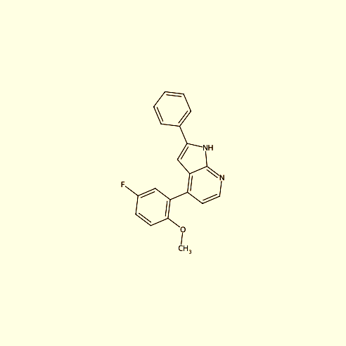 COc1ccc(F)cc1-c1ccnc2[nH]c(-c3ccccc3)cc12